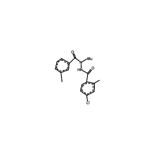 Cc1cccc(C(=O)N(NC(=O)c2ccc(Cl)cc2C)C(C)(C)C)c1